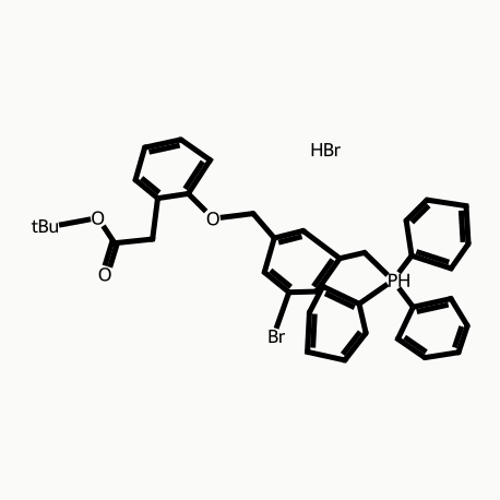 Br.CC(C)(C)OC(=O)Cc1ccccc1OCc1cc(Br)cc(C[PH](c2ccccc2)(c2ccccc2)c2ccccc2)c1